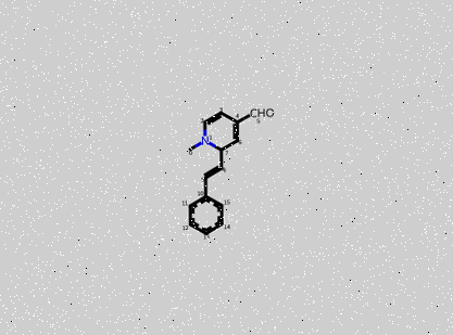 CN1C=CC(C=O)=CC1C=Cc1ccccc1